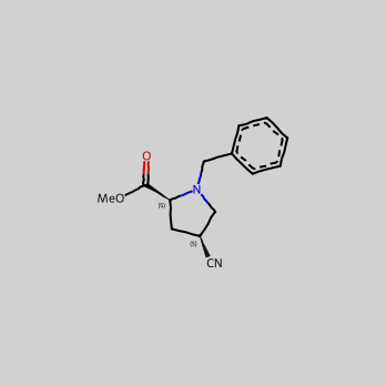 COC(=O)[C@@H]1C[C@H](C#N)CN1Cc1ccccc1